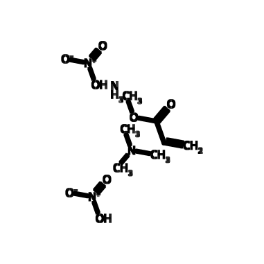 C=CC(=O)OC.CN(C)C.N.O=[N+]([O-])O.O=[N+]([O-])O